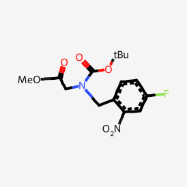 COC(=O)CN(Cc1ccc(F)cc1[N+](=O)[O-])C(=O)OC(C)(C)C